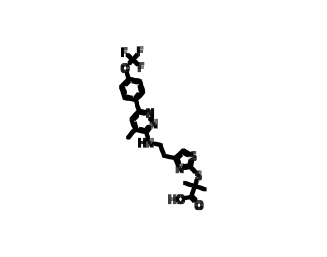 Cc1cc(-c2ccc(OC(F)(F)F)cc2)nnc1NCCc1csc(SC(C)(C)C(=O)O)n1